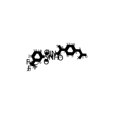 CC(C)Cc1ccc(C(C)C(=O)NNS(=O)(=O)c2cccc(C(F)(F)F)c2)cc1